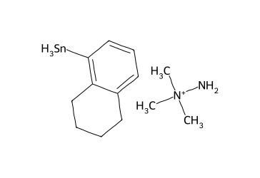 C[N+](C)(C)N.[SnH3][c]1cccc2c1CCCC2